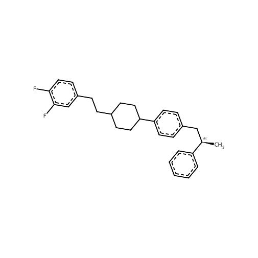 C[C@H](Cc1ccc(C2CCC(CCc3ccc(F)c(F)c3)CC2)cc1)c1ccccc1